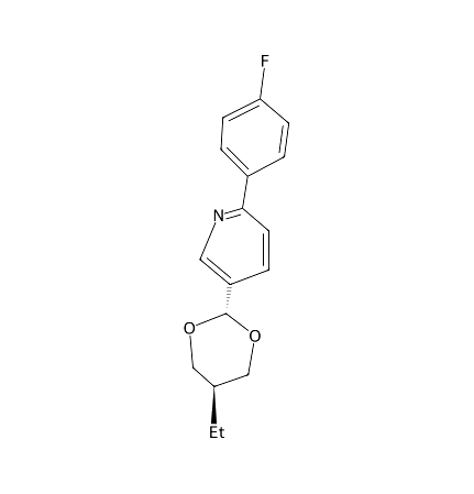 CC[C@H]1CO[C@H](c2ccc(-c3ccc(F)cc3)nc2)OC1